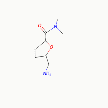 CN(C)C(=O)C1CCC(CN)O1